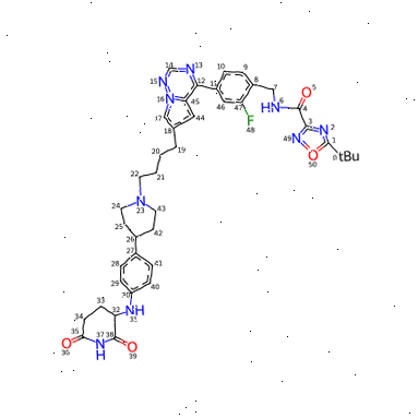 CC(C)(C)c1nc(C(=O)NCc2ccc(-c3ncnn4cc(CCCCN5CCC(c6ccc(NC7CCC(=O)NC7=O)cc6)CC5)cc34)cc2F)no1